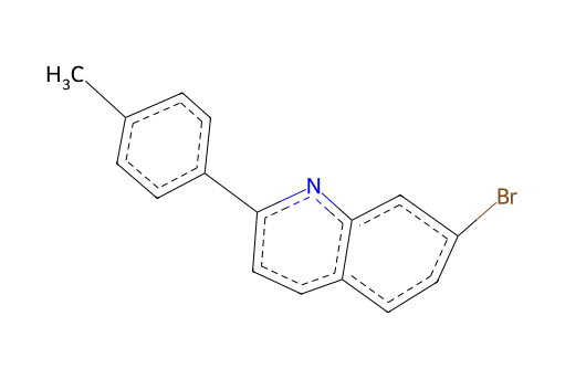 Cc1ccc(-c2ccc3ccc(Br)cc3n2)cc1